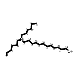 CCCCCCN(CCCCCC)CCCCCCCCCCCCO